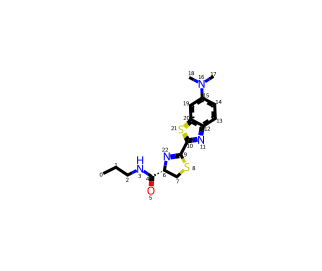 CCCNC(=O)[C@H]1CSC(c2nc3ccc(N(C)C)cc3s2)=N1